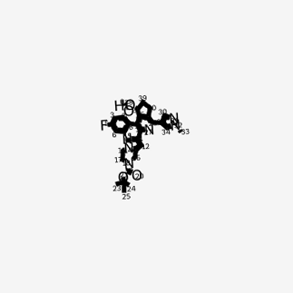 COc1cc(F)ccc1-c1c(-c2cc3n(n2)CCN(C(=O)OC(C)(C)C)C3)nc(-c2cnn(C)c2)c2c1C(O)CC2